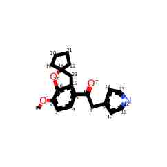 COc1ccc(C(=O)Cc2ccncc2)c2c1OC1(CCCC1)C2